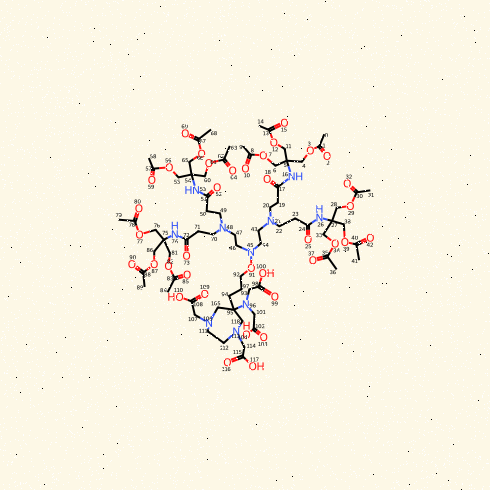 CC(=O)OCC(COC(C)=O)(COC(C)=O)NC(=O)CCN(CCC(=O)NC(COC(C)=O)(COC(C)=O)COC(C)=O)CCN(CCN(CCC(=O)NC(COC(C)=O)(COC(C)=O)COC(C)=O)CCC(=O)NC(COC(C)=O)(COC(C)=O)COC(C)=O)OCCCC1(N(CC(=O)O)CC(=O)O)CN(CC(=O)O)CCN(CC(=O)O)C1